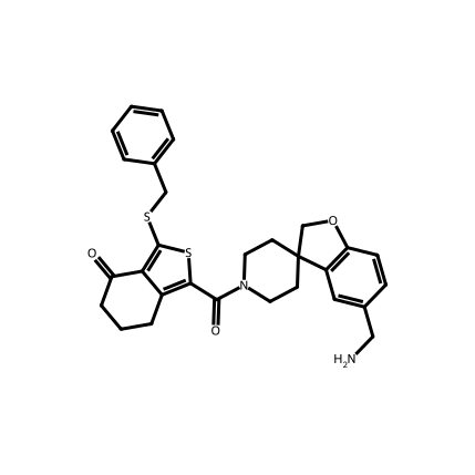 NCc1ccc2c(c1)C1(CCN(C(=O)c3sc(SCc4ccccc4)c4c3CCCC4=O)CC1)CO2